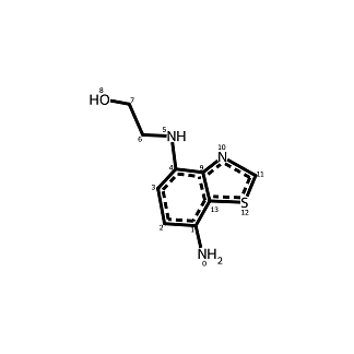 Nc1ccc(NCCO)c2ncsc12